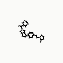 CC1CCCN1CCc1ccc(C2CCC3CN(C(=O)c4cncnc4)CC32)cc1